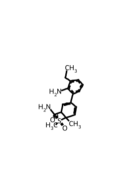 CCc1cccc(C2=CC(C(N)=O)C(C)(S(C)(=O)=O)C=C2)c1N